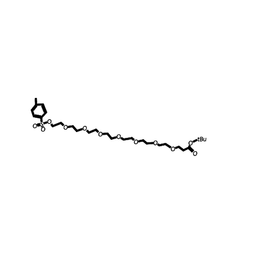 Cc1ccc(S(=O)(=O)OCCOCCOCCOCCOCCOCCOCCOCCC(=O)OC(C)(C)C)cc1